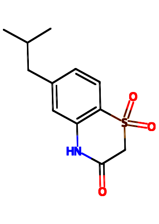 CC(C)Cc1ccc2c(c1)NC(=O)CS2(=O)=O